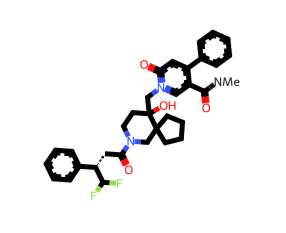 CNC(=O)c1cn(CC2(O)CCN(C(=O)C[C@@H](c3ccccc3)C(F)F)CC23CCCC3)c(=O)cc1-c1ccccc1